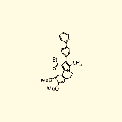 CCC(=O)c1c(-c2ccc(-c3ccccc3)cc2)c(C)n2c1-c1cc(OC)c(OC)cc1CC2